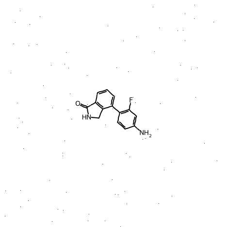 Nc1ccc(-c2cccc3c2CNC3=O)c(F)c1